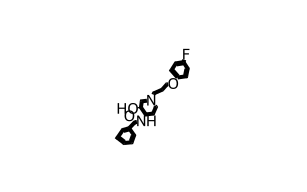 O=C(N[C@H]1CCN(CCCOc2ccc(F)cc2)C[C@H]1O)c1ccccc1